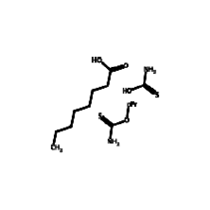 CCCCCCCC(=O)O.CCCOC(N)=S.NC(O)=S